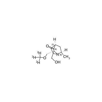 [2H]C([2H])([2H])OC[C@]1(CO)C(=O)[C@H]2CCN1[C@H](C)C2